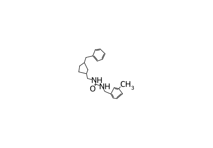 Cc1cccc(CNC(=O)NCC2CCC(Cc3ccccc3)C2)c1